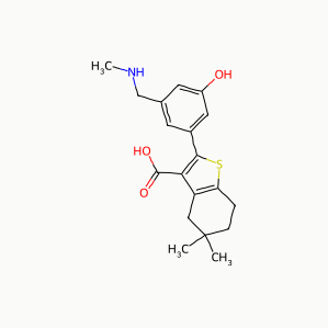 CNCc1cc(O)cc(-c2sc3c(c2C(=O)O)CC(C)(C)CC3)c1